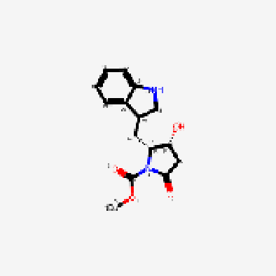 CC(C)(C)OC(=O)N1C(=O)C[C@@H](O)[C@H]1CC1CNc2ccccc21